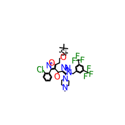 CN1CCN(c2c(C(=O)c3c(-c4ccccc4Cl)noc3CCO[Si](C)(C)C(C)(C)C)nnn2Cc2cc(C(F)(F)F)cc(C(F)(F)F)c2)CC1